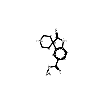 COC(=O)c1ccc2c(c1)C1(CCNCC1)C(=O)N2